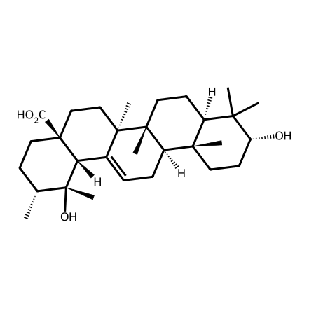 C[C@@H]1CC[C@]2(C(=O)O)CC[C@]3(C)C(=CC[C@@H]4[C@@]5(C)CC[C@@H](O)C(C)(C)[C@@H]5CC[C@]43C)[C@@H]2[C@]1(C)O